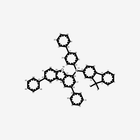 CC1(C)c2ccccc2-c2ccc(N(c3ccc(-c4ccccc4)cc3)c3cc(-c4ccccc4)cc4c3oc3ccc(-c5ccccc5)cc34)cc21